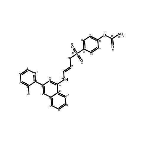 Cc1cccnc1-c1cc2cccnc2c(NC=CCS(=O)(=O)c2ccc(OC(N)=O)cc2)n1